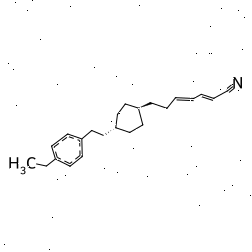 CCc1ccc(CC[C@H]2CC[C@H](CCC=CC=CC#N)CC2)cc1